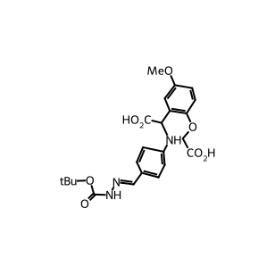 COc1ccc(OCC(=O)O)c(C(Nc2ccc(C=NNC(=O)OC(C)(C)C)cc2)C(=O)O)c1